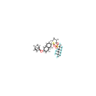 O=S(=O)(OS1(c2ccc3cc(OC4CC5CCC4CC5)ccc3c2)CCCC1)C(F)(F)C(F)(F)C(F)(F)C(F)(F)F